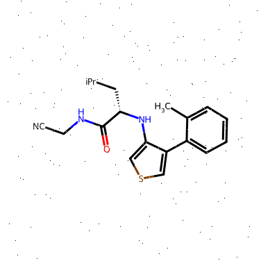 Cc1ccccc1-c1cscc1N[C@@H](CC(C)C)C(=O)NCC#N